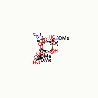 CO/N=C1\C[C@@H](C)O[C@@H](O[C@@H]2[C@@H](C)[C@H](O[C@H]3CC(C)N(C4CCC4)C[C@H](C)O3)[C@@H](C)C(=O)O[C@H]([C@@H](C)CO[C@@H]3O[C@H](C)[C@@H](O)[C@@H](OC)[C@H]3OC)[C@H](C)[C@@H](OC(=O)CC(C)C)[C@@H](C)C(=O)[C@@](C)(O)C[C@@H]2C)[C@@H]1O